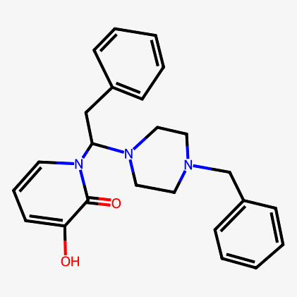 O=c1c(O)cccn1C(Cc1ccccc1)N1CCN(Cc2ccccc2)CC1